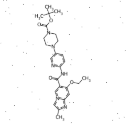 CCOc1cc2nc(C)cn2cc1C(=O)Nc1ccc(N2CCN(C(=O)OC(C)(C)C)CC2)cn1